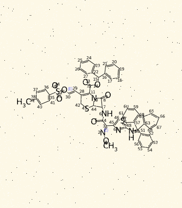 CO/N=C(/C(=O)NC1C(=O)N2C(C(=O)OC(c3ccccc3)c3ccccc3)=C(/C=C/OS(=O)(=O)c3ccc(C)cc3)CSC12)c1csc(NC(c2ccccc2)(c2ccccc2)c2ccccc2)n1